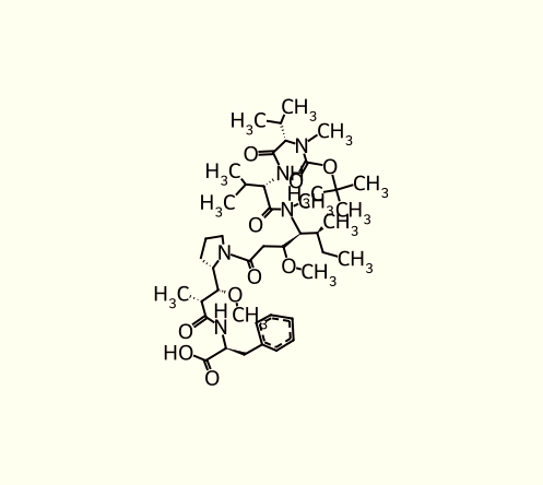 CC[C@H](C)[C@@H](C(CC(=O)N1CCC[C@H]1[C@H](OC)[C@@H](C)C(=O)N[C@@H](Cc1ccccc1)C(=O)O)OC)N(C)C(=O)[C@@H](NC(=O)[C@H](C(C)C)N(C)C(=O)OC(C)(C)C)C(C)C